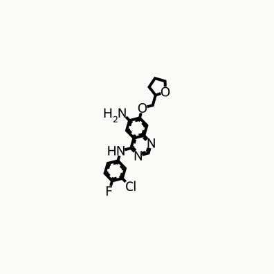 Nc1cc2c(Nc3ccc(F)c(Cl)c3)ncnc2cc1OCC1CCCO1